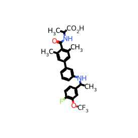 Cc1cc(-c2cccc(NC(C)c3ccc(F)c(OC(F)(F)F)c3)c2)cc(C)c1C(=O)NC(C)C(=O)O